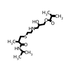 C=C(C)C(=O)OCC(O)CNCCSCC(C)C(=O)NC(C)C